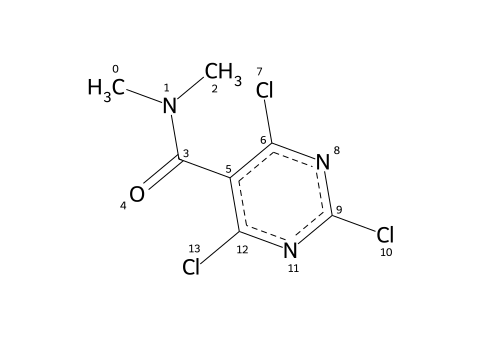 CN(C)C(=O)c1c(Cl)nc(Cl)nc1Cl